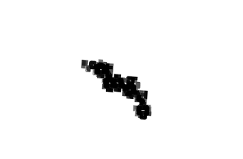 FC(F)(F)c1ccc(Nc2ccnc3nc(-c4nnc(NCCN5CCOCC5)cc4C(F)(F)F)cnc23)nc1